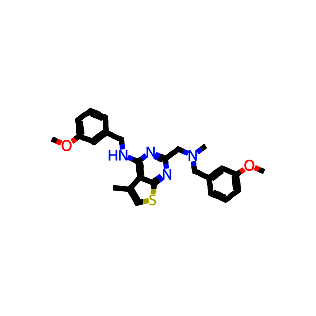 COc1cccc(CNc2nc(CN(C)Cc3cccc(OC)c3)nc3scc(C)c23)c1